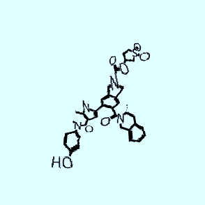 Cc1c(C(=O)N(C)c2ccc(O)cc2)cc(-c2cc3c(cc2C(=O)N2Cc4ccccc4C[C@H]2C)CN(C(=O)OC2CCS(=O)(=O)C2)C3)n1C